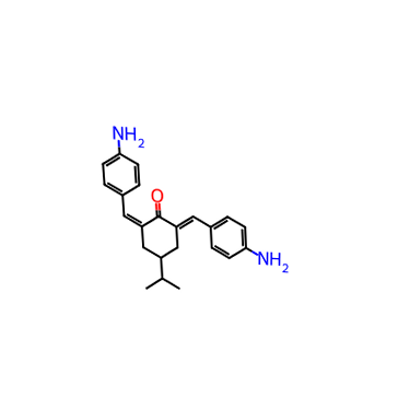 CC(C)C1CC(=Cc2ccc(N)cc2)C(=O)C(=Cc2ccc(N)cc2)C1